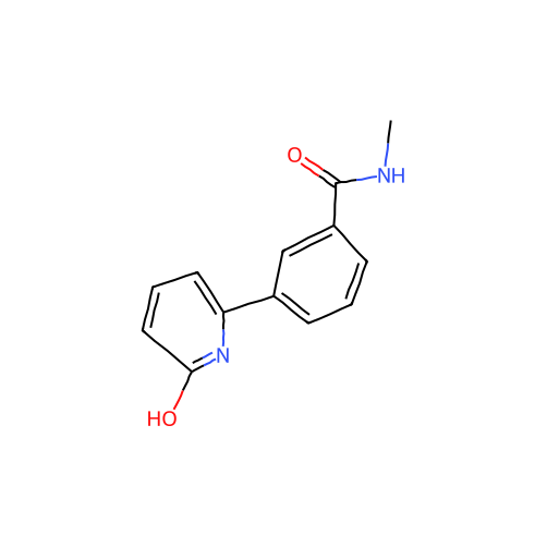 CNC(=O)c1cccc(-c2cccc(O)n2)c1